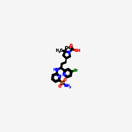 CC1(C)C[C@H](CCC(Nc2cccc(S(N)(=O)=O)n2)c2cc(Br)ccn2)CN1C(=O)O